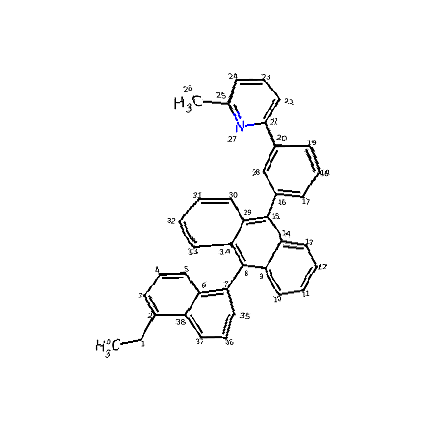 CCc1cccc2c(-c3c4ccccc4c(-c4cccc(-c5cccc(C)n5)c4)c4ccccc34)cccc12